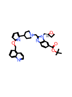 CC(C)(C)OC(=O)c1ccc2nc(CN3CCC(c4cccc(OCc5cccc6ncccc56)n4)CC3)n(C[C@@H]3CCO3)c2c1